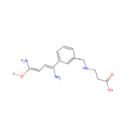 N/C(=C\C=C(/N)OF)c1cccc(CNCCC(=O)O)c1